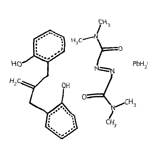 C=C(Cc1ccccc1O)Cc1ccccc1O.CN(C)C(=O)N=NC(=O)N(C)C.[PbH2]